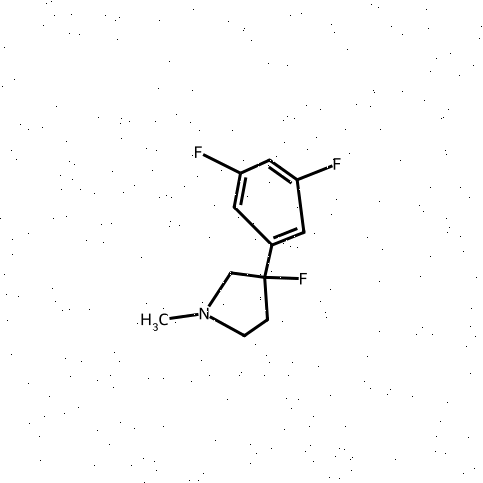 CN1CCC(F)(c2cc(F)cc(F)c2)C1